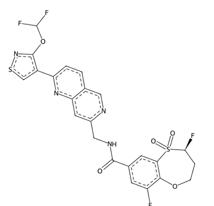 O=C(NCc1cc2nc(-c3csnc3OC(F)F)ccc2cn1)c1cc(F)c2c(c1)S(=O)(=O)[C@@H](F)CCO2